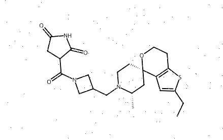 CCc1cc2c(s1)CCO[C@@]21CCN(CC2CN(C(=O)C3CC(=O)NC3=O)C2)[C@@H](C)C1